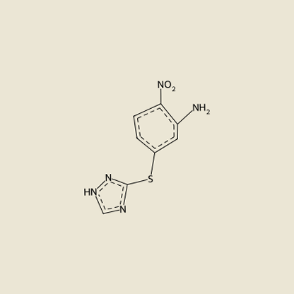 Nc1cc(Sc2nc[nH]n2)ccc1[N+](=O)[O-]